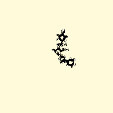 CC1=NN(c2nc(-c3ccccc3)cs2)C(O)/C1=N\Nc1ccc(Cl)cc1